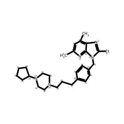 CCc1nc2c(C)cc(C)nc2n1Cc1ccc(CCCN2CCN(C3CCCC3)CC2)cc1